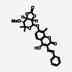 CO[C@@H]1[C@@H]2OC(=O)O[C@@H]2C(Oc2ccc3c(O)c(/N=N/c4ccccc4)c(=O)oc3c2C)OC1(C)C